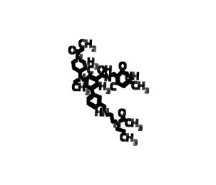 C=CC(=O)N1CCC(N(CC)c2cc(-c3cccc(CNCCN(CCC)C(C)=O)c3)cc(C(=O)NCc3c(C)cc(C)[nH]c3=O)c2C)CC1